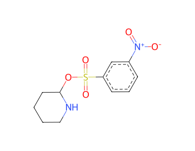 O=[N+]([O-])c1cccc(S(=O)(=O)OC2CCCCN2)c1